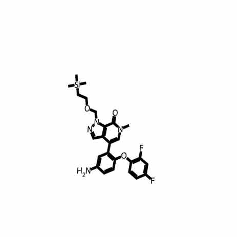 Cn1cc(-c2cc(N)ccc2Oc2ccc(F)cc2F)c2cnn(COCC[Si](C)(C)C)c2c1=O